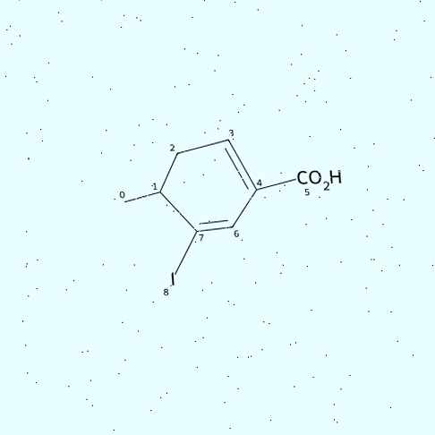 CC1CC=C(C(=O)O)C=C1I